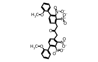 COc1ccccc1-c1ccc(CC(=O)Cc2ccc(-c3ccccc3OC)c([N+](=O)[O-])c2[N+](=O)[O-])c([N+](=O)[O-])c1[N+](=O)[O-]